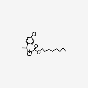 CCCCCCCCOC(=O)C1CCN1C(C)c1ccc(Cl)cc1